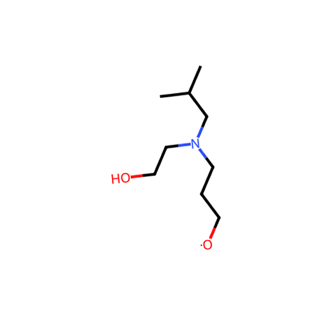 CC(C)CN(CCO)CCC[O]